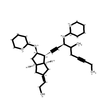 CCC#CCC(C)[C@@H](C#C[C@@H]1[C@H]2CC(=CCO)C[C@H]2C[C@H]1OC1CCCCO1)OC1CCCCO1